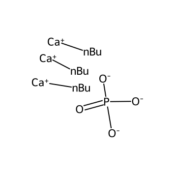 CCC[CH2][Ca+].CCC[CH2][Ca+].CCC[CH2][Ca+].O=P([O-])([O-])[O-]